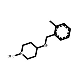 Cc1ccccc1CNC1CCN(C=O)CC1